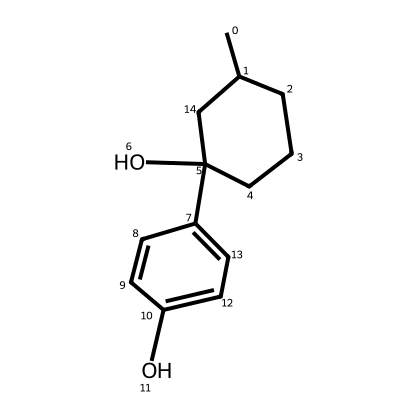 CC1CCCC(O)(c2ccc(O)cc2)C1